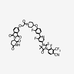 CC1(C)C(=O)N(c2ccc(C#N)c(C(F)(F)F)c2F)C(=S)N1c1cnc(-c2ccc(OC3CCN(C(=O)COc4ccc5c(c4)C(=O)N(C4CCC(=O)NC4=O)C5=O)CC3)c(F)c2)c(F)c1